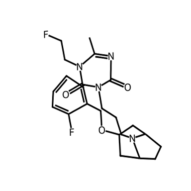 Cc1nc(=O)n(CCCN2C3CCC2CC(OCc2ccccc2F)C3)c(=O)n1CCF